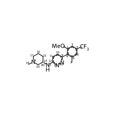 COc1cc(C(F)(F)F)cc(C)c1-c1ccc(N[C@@H]2CCCN(C)C2)nn1